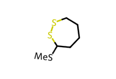 CSC1CCCCSS1